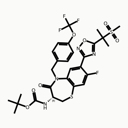 CC(C)(C)OC(=O)N[C@H]1CSc2cc(F)c(-c3noc(C(C)(C)S(C)(=O)=O)n3)cc2N(Cc2ccc(OC(F)(F)F)cc2)C1=O